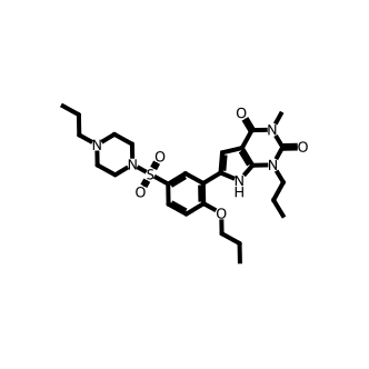 CCCOc1ccc(S(=O)(=O)N2CCN(CCC)CC2)cc1-c1cc2c(=O)n(C)c(=O)n(CCC)c2[nH]1